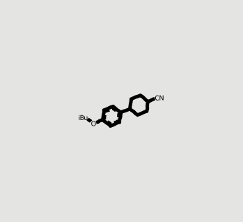 CCC(C)Oc1ccc(C2CCC(C#N)CC2)cc1